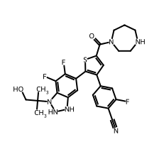 CC(C)(CO)N1NNc2cc(-c3sc(C(=O)N4CCCNCC4)cc3-c3ccc(C#N)c(F)c3)c(F)c(F)c21